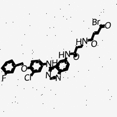 O=C(Br)C=CC(=O)NCCC(=O)Nc1ccc2ncnc(Nc3ccc(OCc4cccc(F)c4)c(Cl)c3)c2c1